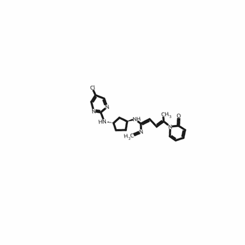 C=N/C(=C\C=C(/C)n1ccccc1=O)N[C@H]1CC[C@H](Nc2ncc(Cl)cn2)C1